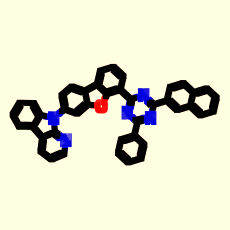 c1ccc(-c2nc(-c3ccc4ccccc4c3)nc(-c3cccc4c3oc3cc(-n5c6ccccc6c6cccnc65)ccc34)n2)cc1